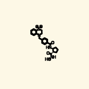 O=C(N[C@@H]1CCC[C@@H]1C(=O)NO)c1ccc(CN2CCS(=O)(=O)c3ccccc32)cc1